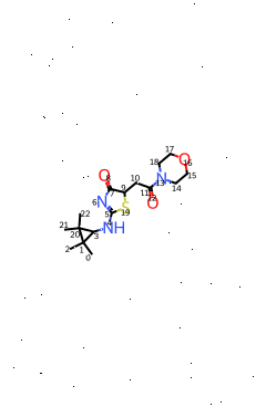 CC1(C)C(NC2=NC(=O)C(CC(=O)N3CCOCC3)S2)C1(C)C